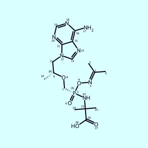 CC(C)=NO[P@@](=O)(CO[C@H](C)Cn1cnc2c(N)ncnc21)NC(C)(C)C(=O)O